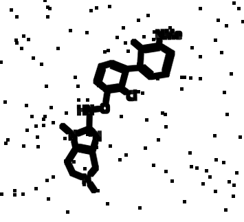 CNc1cccc(-c2cccc(ONc3nc4c(n3C)CCN(C)C4)c2Cl)c1C